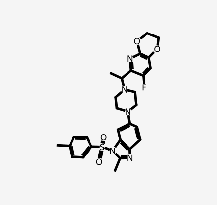 Cc1ccc(S(=O)(=O)n2c(C)nc3ccc(N4CCN(C(C)c5nc6c(cc5F)OCCO6)CC4)cc32)cc1